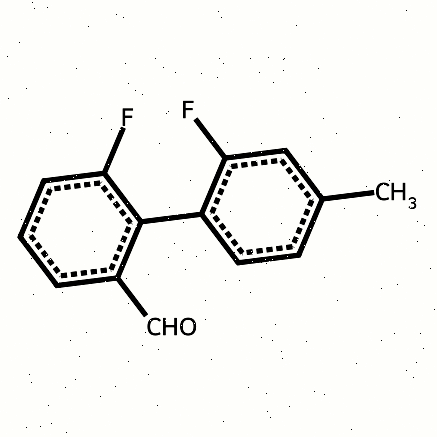 Cc1ccc(-c2c(F)cccc2C=O)c(F)c1